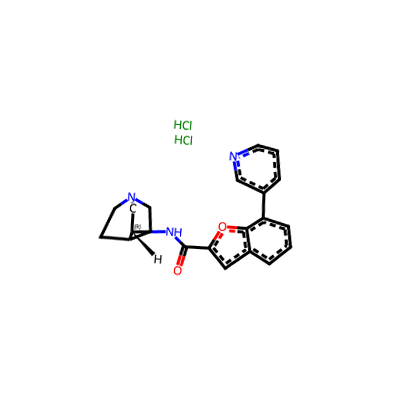 Cl.Cl.O=C(N[C@H]1CN2CCC1CC2)c1cc2cccc(-c3cccnc3)c2o1